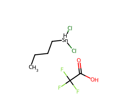 CCC[CH2][SnH]([Cl])[Cl].O=C(O)C(F)(F)F